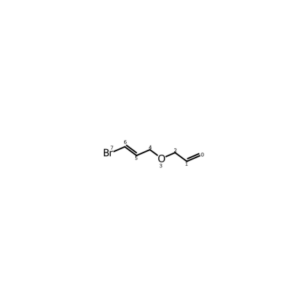 C=CCOCC=CBr